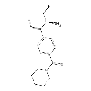 CO[C@H](c1ccc(C(=O)N2CCNCC2)cc1)[C@H](N)CF